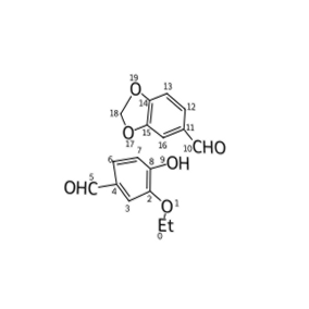 CCOc1cc(C=O)ccc1O.O=Cc1ccc2c(c1)OCO2